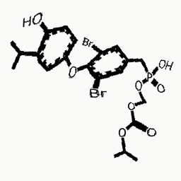 CC(C)OC(=O)OCOP(=O)(O)Cc1cc(Br)c(Oc2ccc(O)c(C(C)C)c2)c(Br)c1